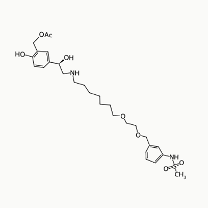 CC(=O)OCc1cc([C@@H](O)CNCCCCCCCOCCOCc2cccc(NS(C)(=O)=O)c2)ccc1O